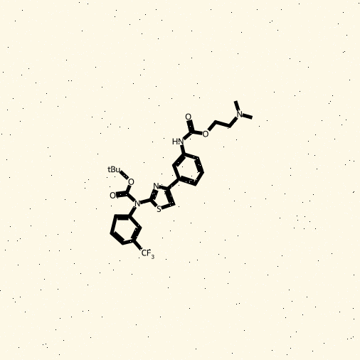 CN(C)CCOC(=O)Nc1cccc(-c2csc(N(C(=O)OC(C)(C)C)c3cccc(C(F)(F)F)c3)n2)c1